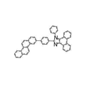 c1ccc(-n2c(-c3ccc(-c4ccc5ccc6c7ccccc7ccc6c5c4)cc3)nc3c4ccccc4c4ccccc4c32)cc1